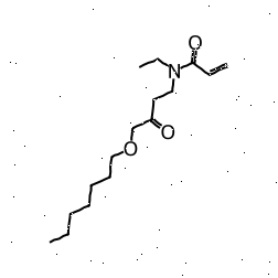 C=CC(=O)N(CC)CCC(=O)COCCCCCCC